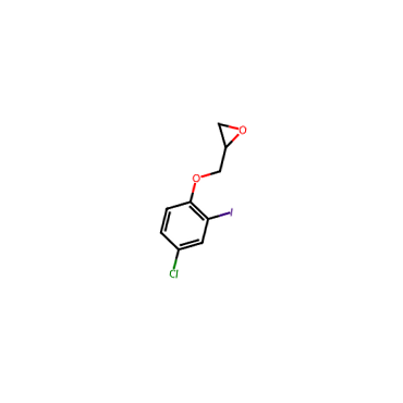 Clc1ccc(OCC2CO2)c(I)c1